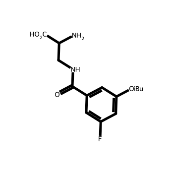 CC(C)COc1cc(F)cc(C(=O)NCC(N)C(=O)O)c1